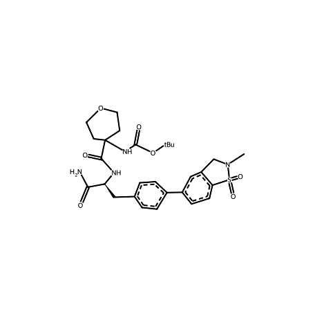 CN1Cc2cc(-c3ccc(C[C@H](NC(=O)C4(NC(=O)OC(C)(C)C)CCOCC4)C(N)=O)cc3)ccc2S1(=O)=O